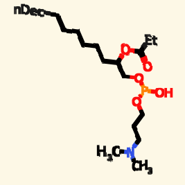 CCCCCCCCCCCCCCCCC(COP(O)OCCCN(C)C)OC(=O)CC